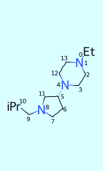 CCN1CCN([C@@H]2CCN(CC(C)C)C2)CC1